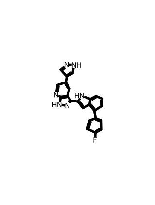 Fc1ccc(-c2cccc3[nH]c(-c4n[nH]c5ncc(-c6cn[nH]c6)cc45)cc23)cc1